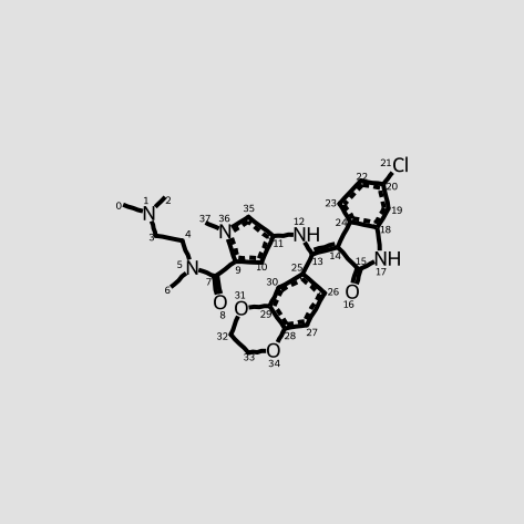 CN(C)CCN(C)C(=O)c1cc(NC(=C2C(=O)Nc3cc(Cl)ccc32)c2ccc3c(c2)OCCO3)cn1C